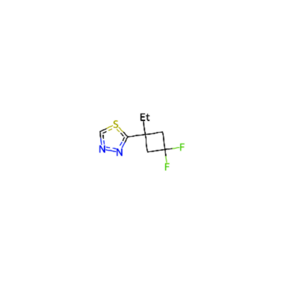 CCC1(c2nncs2)CC(F)(F)C1